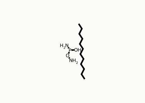 CCCCCCCCCCCC.NOP(N)O